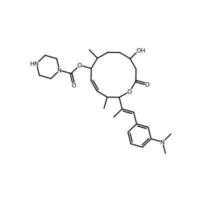 C/C(=C\c1cccc(N(C)C)c1)C1OC(=O)CC(O)CCC(C)C(OC(=O)N2CCNCC2)C=CC1C